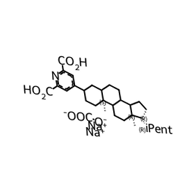 CCC[C@@H](C)[C@H]1CCC2C3CCC4CC(c5cc(C(=O)O)nc(C(=O)O)c5)CC[C@]4(C)C3CC[C@@]21C.O=C([O-])[O-].[Na+].[Na+]